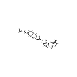 C[C@@H](/C=C/c1cnc(Oc2ccc(OCC3CC3)cc2Cl)s1)NC(=O)CN1C(=O)CSC1=O